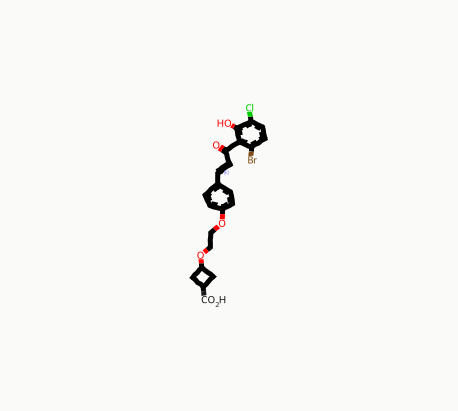 O=C(/C=C/c1ccc(OCCOC2CC(C(=O)O)C2)cc1)c1c(Br)ccc(Cl)c1O